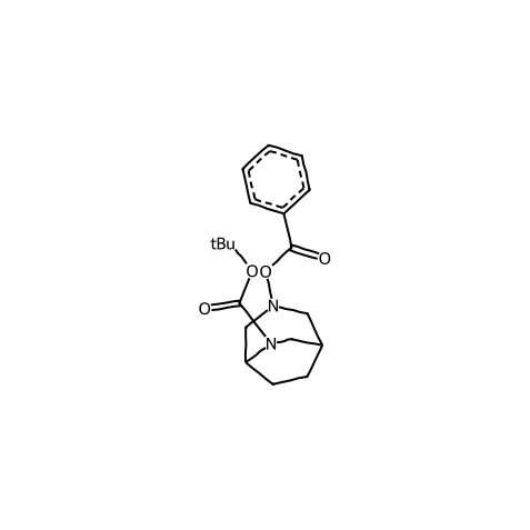 CC(C)(C)OC(=O)N1CC2CCC1CN(OC(=O)c1ccccc1)C2